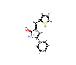 O=C1NC(c2ccccc2)=CC1=Cc1cccs1